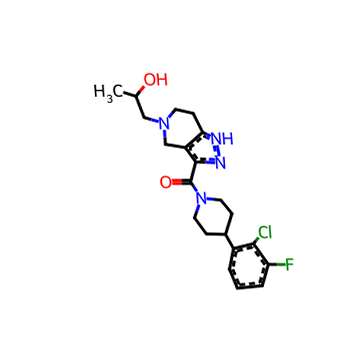 CC(O)CN1CCc2[nH]nc(C(=O)N3CCC(c4cccc(F)c4Cl)CC3)c2C1